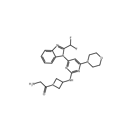 NCC(=O)N1CC(Nc2nc(N3CCOCC3)cc(-n3c(C(F)F)nc4ccccc43)n2)C1